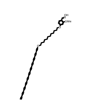 C#CC#CC#CC#CC#CC#CC#CC#CC#CC#CC#COCCCCCCCCCCCCOc1ccc(C=NO)c(OC)c1